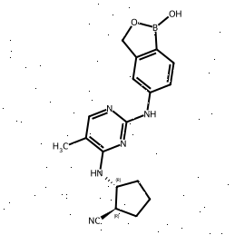 Cc1cnc(Nc2ccc3c(c2)COB3O)nc1N[C@@H]1CCC[C@H]1C#N